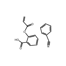 C=CC(=O)Oc1ccccc1C(=O)O.N#Cc1ccccc1